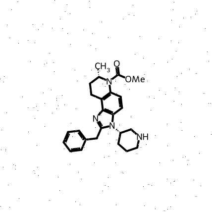 COC(=O)N1c2ccc3c(nc(Cc4ccccc4)n3[C@H]3CCCNC3)c2CC[C@@H]1C